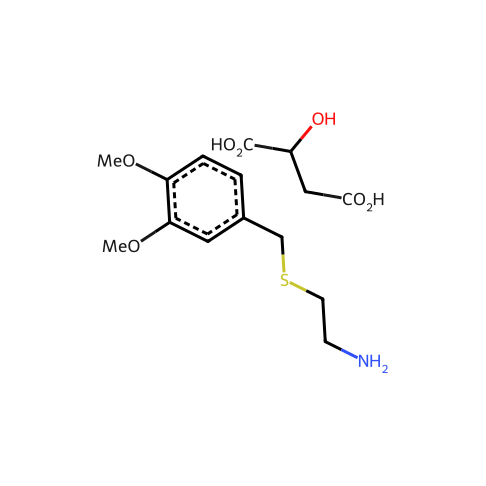 COc1ccc(CSCCN)cc1OC.O=C(O)CC(O)C(=O)O